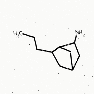 CCCC1CC2CC(N)C1C2